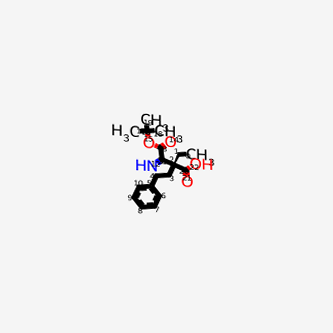 CC[C@@](CCc1ccccc1)(C(=N)C(=O)OC(C)(C)C)C(=O)O